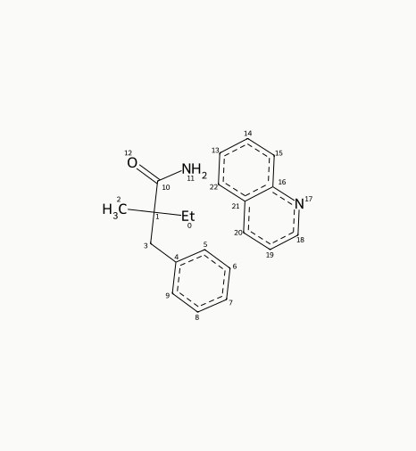 CCC(C)(Cc1ccccc1)C(N)=O.c1ccc2ncccc2c1